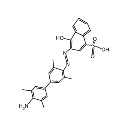 Cc1cc(-c2cc(C)c(/N=N/c3cc(S(=O)(=O)O)c4ccccc4c3O)c(C)c2)cc(C)c1N